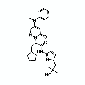 CN(c1ccccc1)c1cnn(C(CC2CCCC2)C(=O)Nc2ccn(CC(C)(C)O)n2)c(=O)c1